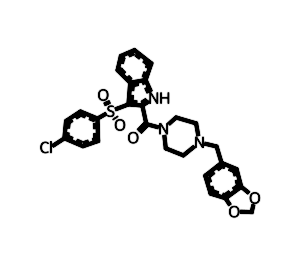 O=C(c1[nH]c2ccccc2c1S(=O)(=O)c1ccc(Cl)cc1)N1CCN(Cc2ccc3c(c2)OCO3)CC1